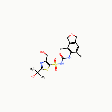 CC(C)c1cc2c(c(C(C)C)c1NC(=O)NS(=O)(=O)c1sc(C(C)(C)O)nc1CO)COC2